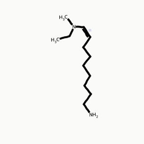 CCN(C)/C=C\CCCCCCCN